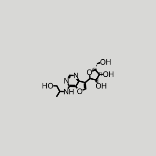 CC(CO)Nc1ncnc2c(C3O[C@H](CO)[C@@H](O)[C@H]3O)coc12